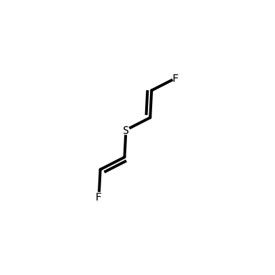 F/C=C/S/C=C/F